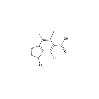 [2H]c1c(C(=O)O)c(F)c(F)c2c1C(C)CO2